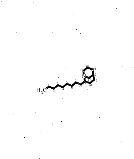 CCCCCCCCC[C]1CCC2CCCN1C2